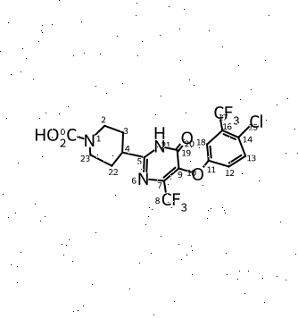 O=C(O)N1CCC(c2nc(C(F)(F)F)c(Oc3ccc(Cl)c(C(F)(F)F)c3)c(=O)[nH]2)CC1